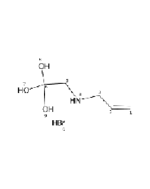 Br.C=CCNCC(O)(O)O